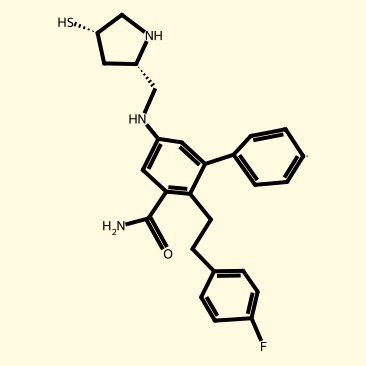 NC(=O)c1cc(NC[C@@H]2C[C@H](S)CN2)cc(-c2cc[c]cc2)c1CCc1ccc(F)cc1